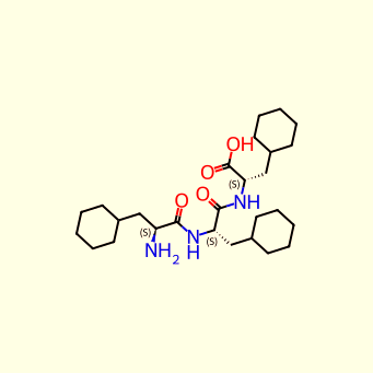 N[C@@H](CC1CCCCC1)C(=O)N[C@@H](CC1CCCCC1)C(=O)N[C@@H](CC1CCCCC1)C(=O)O